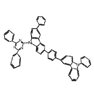 c1ccc(-c2ccc3c(c2)c2cc(-c4ccc(-c5ccc6c(c5)c5ccccc5n6-c5ccccc5)cc4)ccc2n3-c2nc(-c3ccccc3)nc(-c3ccccc3)n2)cc1